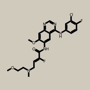 COCCN(C)CC=C(F)C(=O)Nc1cc2c(Nc3ccc(F)c(Cl)c3)ncnc2cc1OC